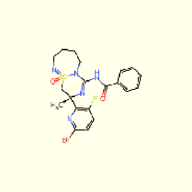 C[C@@]1(c2nc(Br)ccc2F)CS2(=O)=NCCCCN2C(NC(=O)c2ccccc2)=N1